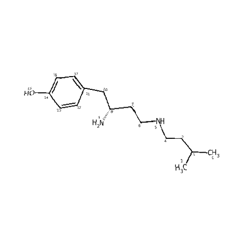 CC(C)CCNC[CH][C@H](N)Cc1ccc(O)cc1